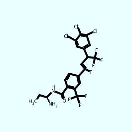 CC[C@H](N)NC(=O)c1ccc(/C(F)=C/C(c2cc(Cl)c(Cl)c(Cl)c2)C(F)(F)F)cc1C(F)(F)F